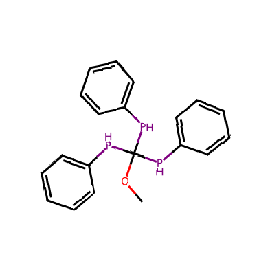 COC(Pc1ccccc1)(Pc1ccccc1)Pc1ccccc1